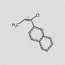 C/C=C(/Cl)c1ccc2ccccc2c1